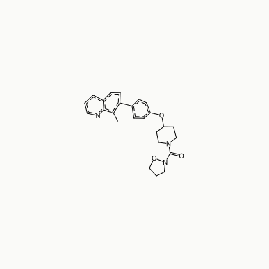 Cc1c(-c2ccc(OC3CCN(C(=O)N4CCCO4)CC3)cc2)ccc2cccnc12